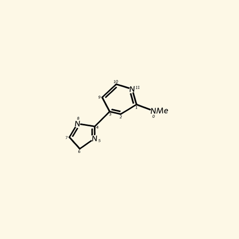 CNc1cc(C2=NCC=N2)ccn1